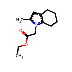 CCOC(=O)Cn1c(C)cc2c1CCCC2